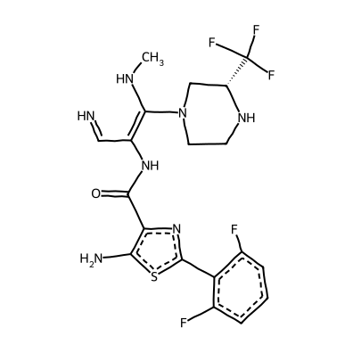 CN/C(=C(\C=N)NC(=O)c1nc(-c2c(F)cccc2F)sc1N)N1CCN[C@@H](C(F)(F)F)C1